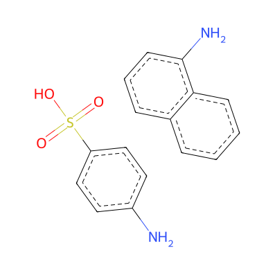 Nc1ccc(S(=O)(=O)O)cc1.Nc1cccc2ccccc12